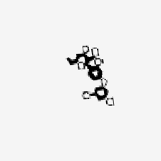 CCC1CC(=O)C(C(=O)OC)=C(c2ccc(Oc3cc(Cl)cc(Cl)c3)cc2)O1